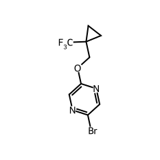 FC(F)(F)C1(COc2cnc(Br)cn2)CC1